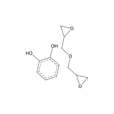 C(OCC1CO1)C1CO1.Oc1ccccc1O